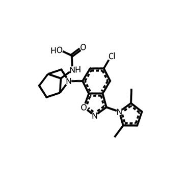 Cc1ccc(C)n1-c1noc2c(N3CC4CCC3C4NC(=O)O)cc(Cl)cc12